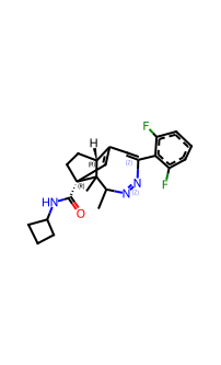 CC1/N=N\C(c2c(F)cccc2F)=C/C2=C[C@]3(C(=O)NC4CCC4)CC[C@H]2C13C